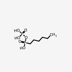 CCCCCCP(=O)(O)OP(=O)(O)O